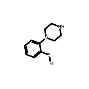 CCSc1ccccc1N1CCNCC1